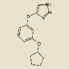 c1cc(Oc2c[nH]nn2)cc(OC2CCCC2)c1